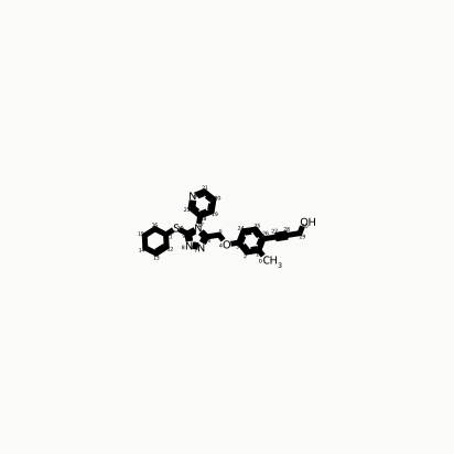 Cc1cc(OCc2nnc(SC3C=CCCC3)n2-c2cccnc2)ccc1C#CCO